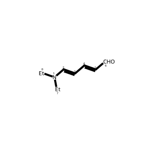 CCN(C=CC=CC=O)CC